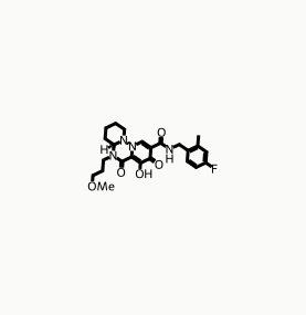 COCCCN1C(=O)c2c(O)c(=O)c(C(=O)NCc3ccc(F)cc3C)cn2N2CCCC[C@@H]12